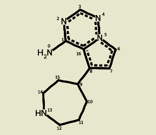 Nc1ncnn2ccc(C3CCCNCC3)c12